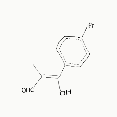 CC(C=O)=C(O)c1ccc(C(C)C)cc1